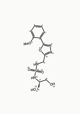 COc1ccccc1-c1nnc(CNS(=O)(=O)N[C@@H](CO)C(=O)O)o1